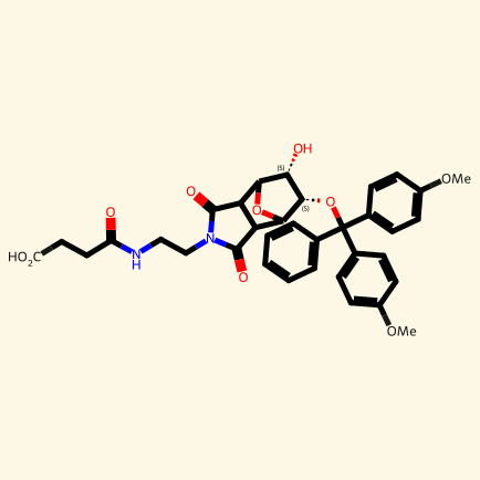 COc1ccc(C(O[C@@H]2C3OC(C4C(=O)N(CCNC(=O)CCC(=O)O)C(=O)C43)[C@@H]2O)(c2ccccc2)c2ccc(OC)cc2)cc1